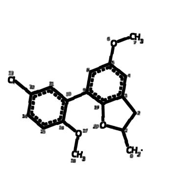 [CH2]C1Cc2cc(OC)cc(-c3cc(Cl)ccc3OC)c2O1